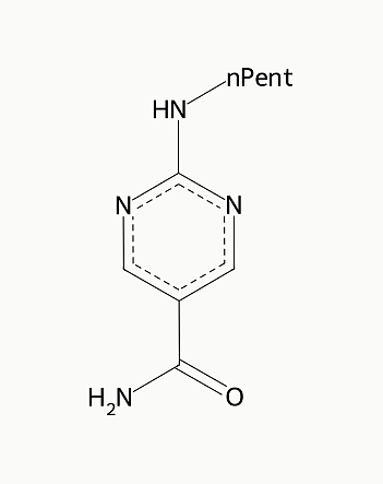 CCCCCNc1ncc(C(N)=O)cn1